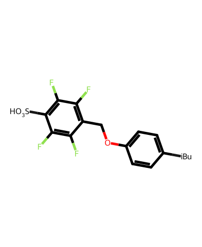 CCC(C)c1ccc(OCc2c(F)c(F)c(S(=O)(=O)O)c(F)c2F)cc1